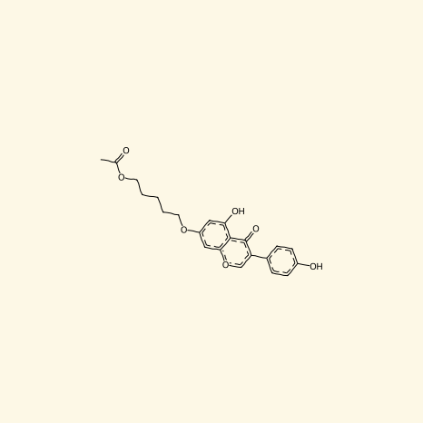 CC(=O)OCCCCCOc1cc(O)c2c(=O)c(-c3ccc(O)cc3)coc2c1